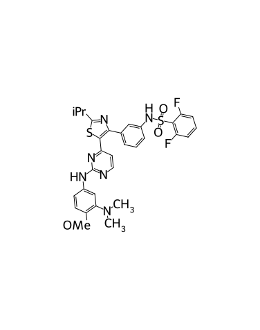 COc1ccc(Nc2nccc(-c3sc(C(C)C)nc3-c3cccc(NS(=O)(=O)c4c(F)cccc4F)c3)n2)cc1N(C)C